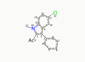 CC(=O)c1c(-c2ccccc2)c2cc(Cl)ccc2n1C